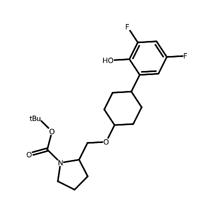 CC(C)(C)OC(=O)N1CCCC1COC1CCC(c2cc(F)cc(F)c2O)CC1